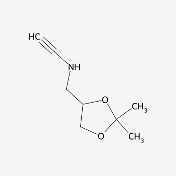 C#CNCC1COC(C)(C)O1